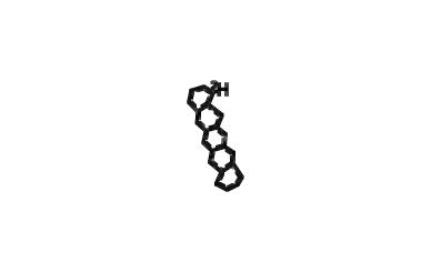 [2H]c1cccc2cc3cc4cc5ccccc5cc4cc3cc12